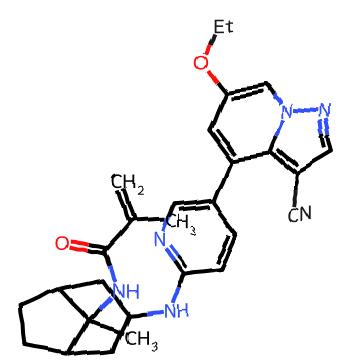 C=C(C)C(=O)NC1(C)C2CCC1CC(Nc1ccc(-c3cc(OCC)cn4ncc(C#N)c34)cn1)C2